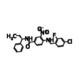 CC[C@@H](NC(=O)c1ccc(NCc2ccc(Cl)cc2F)c([N+](=O)[O-])c1)c1ccccc1